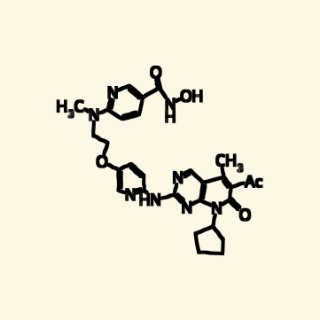 CC(=O)c1c(C)c2cnc(Nc3ccc(OCCN(C)c4ccc(C(=O)NO)cn4)cn3)nc2n(C2CCCC2)c1=O